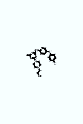 Cc1nc(Nc2ccc(Sc3ccc(Cl)cc3)cn2)nc(N2CCN(CCO)CC2)n1